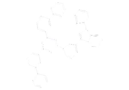 c1ccc(-c2cccc(-c3nc(-c4cccc(-c5ccccc5)c4)nc(-c4cccc(-c5c6ccccc6n6c5sc5ccccc56)c4)n3)c2)cc1